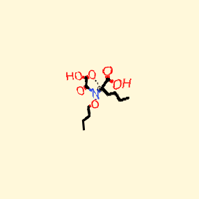 CCCCON(C(=O)C(=O)O)[C@](C)(CCCC)C(=O)O